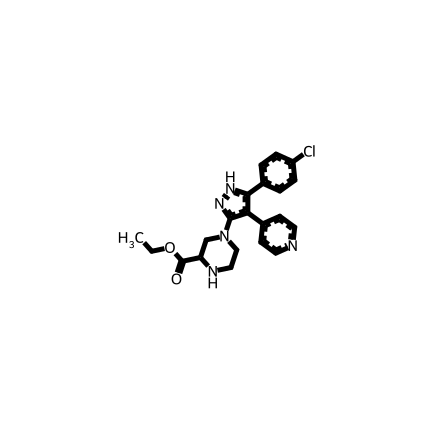 CCOC(=O)C1CN(c2n[nH]c(-c3ccc(Cl)cc3)c2-c2ccncc2)CCN1